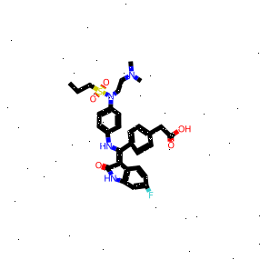 CCCS(=O)(=O)N(CCN(C)C)c1ccc(N/C(=C2\C(=O)Nc3cc(F)ccc32)c2ccc(CC(=O)O)cc2)cc1